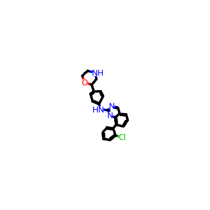 Clc1ccccc1-c1cccc2cnc(Nc3ccc(C4CNCCO4)cc3)nc12